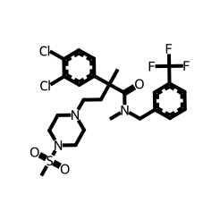 CN(Cc1cccc(C(F)(F)F)c1)C(=O)C(C)(CCN1CCN(S(C)(=O)=O)CC1)c1ccc(Cl)c(Cl)c1